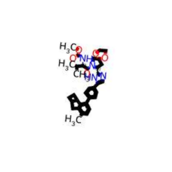 COC(=O)N[C@H](C(=O)N1CC2(C[C@H]1c1ncc(-c3ccc(-c4ccc(C)c5c4C4CCC4C5)cc3)[nH]1)OCCO2)C(C)C